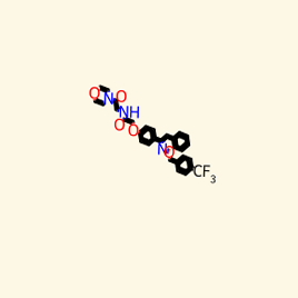 O=C(COc1ccc(/C(Cc2ccccc2)=N/OCc2ccc(C(F)(F)F)cc2)cc1)NCC(=O)N1CCOCC1